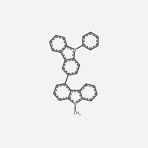 Cn1c2ccccc2c2c(-c3ccc4c(c3)c3ccccc3n4-c3ccccc3)cccc21